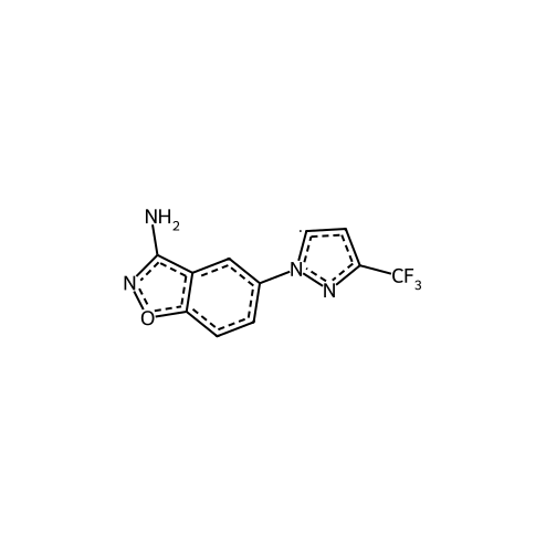 Nc1noc2ccc(-n3[c]cc(C(F)(F)F)n3)cc12